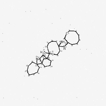 BC1(BC2CCCCCCCC2)CCCCC(C)(C23CCCC(C4(B)CCCCCCC4)(CC2)C3)CCC1